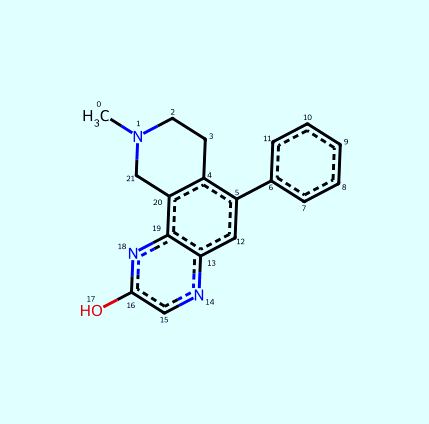 CN1CCc2c(-c3ccccc3)cc3ncc(O)nc3c2C1